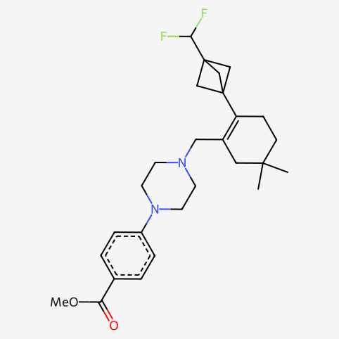 COC(=O)c1ccc(N2CCN(CC3=C(C45CC(C(F)F)(C4)C5)CCC(C)(C)C3)CC2)cc1